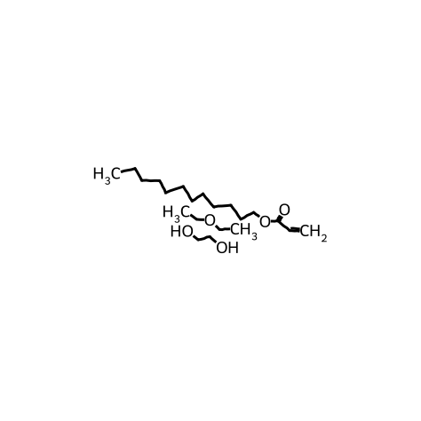 C=CC(=O)OCCCCCCCCCCCC.CCOCC.OCCO